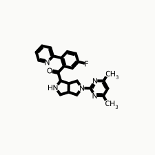 Cc1cc(C)nc(N2CC3CNC(C(=O)c4cc(F)ccc4-c4ccccn4)C3C2)n1